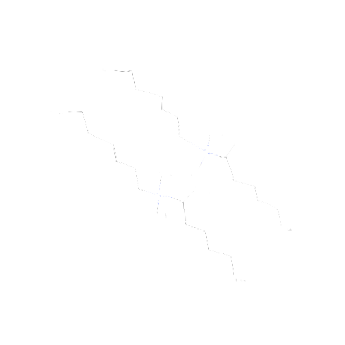 CCCCCCCCCCCCCCCC[N+](C)(C)C(C)CCCCCCCCCCCCCC.CCCCCCCCCCCCCCCC[N+](C)(C)C(C)CCCCCCCCCCCCCC.[Cl-].[Cl-]